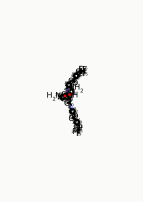 Nc1ccc(CC(CC(=O)/C=C/c2ccc(OC(=O)c3ccc(OC(F)(F)C(F)F)cc3)cc2)(Cc2ccc(N)cc2)C(O)(O)C(=O)/C=C/c2ccc(OC(=O)c3ccc(OC(F)(F)C(F)F)cc3)cc2)cc1